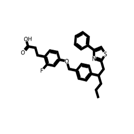 CCCC(Cc1nc(-c2ccccc2)cs1)c1ccc(COc2ccc(CCC(=O)O)c(F)c2)cc1